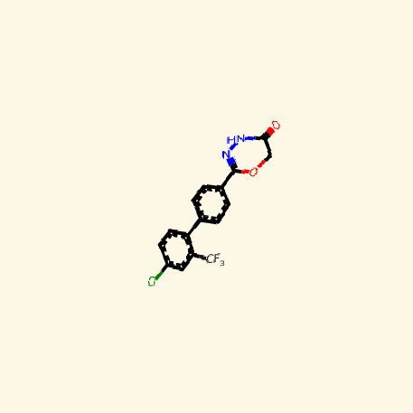 O=C1COC(c2ccc(-c3ccc(Cl)cc3C(F)(F)F)cc2)=NN1